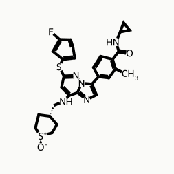 Cc1cc(-c2cnc3c(NC[C@H]4CC[S@+]([O-])CC4)cc(Sc4cccc(F)c4)nn23)ccc1C(=O)NC1CC1